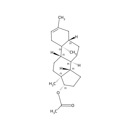 CC(=O)O[C@H]1CC[C@H]2[C@@H]3CC[C@H]4CC(C)=CC[C@]4(C)[C@H]3CC[C@]12C